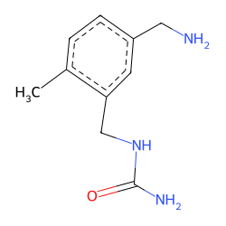 Cc1ccc(CN)cc1CNC(N)=O